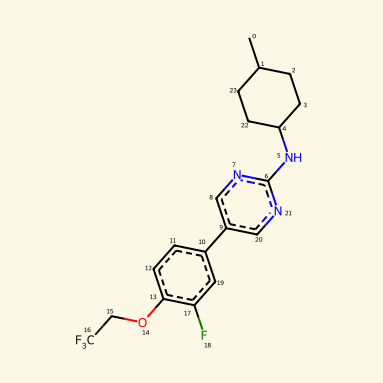 CC1CCC(Nc2ncc(-c3ccc(OCC(F)(F)F)c(F)c3)cn2)CC1